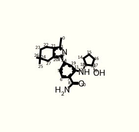 Cc1nn(-c2ccc(C(N)=O)c(N[C@H]3CCC[C@@H]3O)c2)c2c1CCC(C)(C)C2